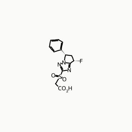 O=C(O)CS(=O)(=O)c1nc2n(n1)[C@H](c1ccccc1)C[C@@H]2F